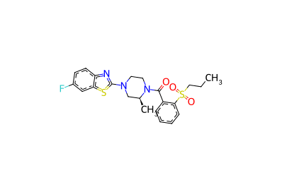 CCCS(=O)(=O)c1ccccc1C(=O)N1CCN(c2nc3ccc(F)cc3s2)C[C@@H]1C